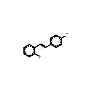 Fc1ccc(/C=[C]/c2ccccc2F)cc1